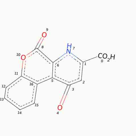 O=C(O)c1cc(=O)c2c([nH]1)c(=O)oc1ccccc12